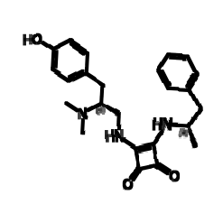 C[C@H](Cc1ccccc1)Nc1c(NC[C@H](Cc2ccc(O)cc2)N(C)C)c(=O)c1=O